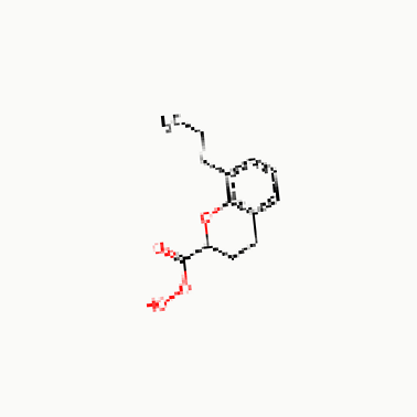 CCCc1cccc2c1OC(C(=O)OO)CC2